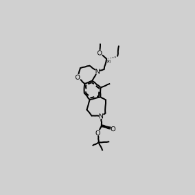 CC[C@H](CN1CCOc2cc3c(c(C)c21)CCN(C(=O)OC(C)(C)C)CC3)OC